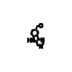 O=Cc1ccc2[nH]c3cncnc3c2c1